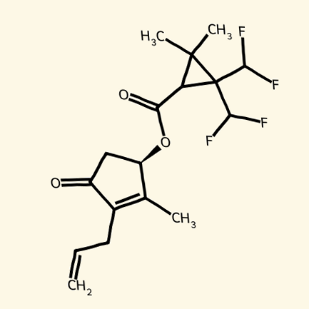 C=CCC1=C(C)[C@H](OC(=O)C2C(C)(C)C2(C(F)F)C(F)F)CC1=O